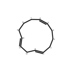 [C]1=C/CCC/C=C\CCC/C=C/C/1